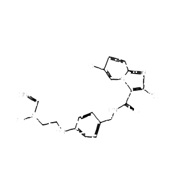 CCc1nc2ccc(Cl)cn2c1C(=O)NCc1ccc(NCCN(C=N)C(C)=O)cc1